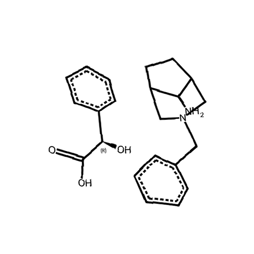 NC1C2CCC1CN(Cc1ccccc1)C2.O=C(O)[C@H](O)c1ccccc1